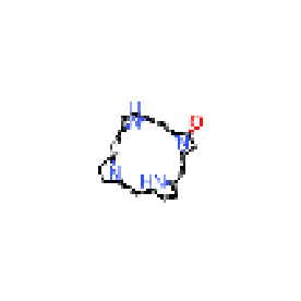 O=C1Cc2cc3ccc(cc4nc(cc5ccc(cc1n2)[nH]5)CC4)[nH]3